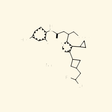 CCC(CC)CC1CC(c2onc(C(CC(=O)[O-])CC(=O)Nc3ccc(C)cc3Cl)c2C2CC2)C1.[Na+]